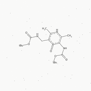 Cc1[nH]c(C)c(NC(=O)OC(C)(C)C)c(=O)c1CNC(=O)OC(C)(C)C